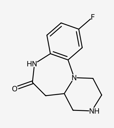 O=C1CC2CNCCN2c2cc(F)ccc2N1